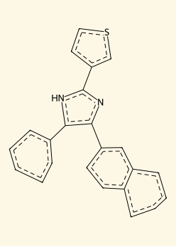 c1ccc(-c2[nH]c(-c3ccsc3)nc2-c2ccc3ccccc3c2)cc1